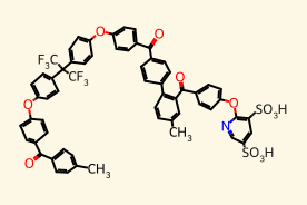 Cc1ccc(C(=O)c2ccc(Oc3ccc(C(c4ccc(Oc5ccc(C(=O)c6ccc(-c7ccc(C)cc7C(=O)c7ccc(Oc8ncc(S(=O)(=O)O)cc8S(=O)(=O)O)cc7)cc6)cc5)cc4)(C(F)(F)F)C(F)(F)F)cc3)cc2)cc1